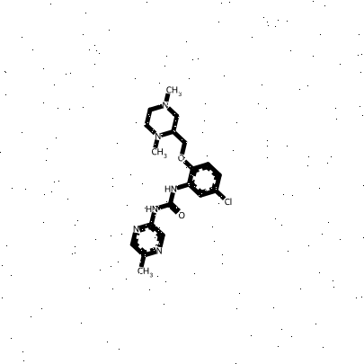 Cc1cnc(NC(=O)Nc2cc(Cl)ccc2OCC2CN(C)CCN2C)cn1